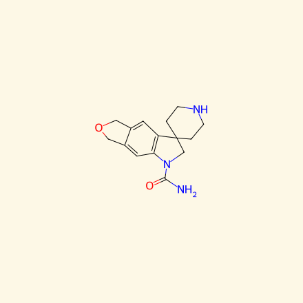 NC(=O)N1CC2(CCNCC2)c2cc3c(cc21)COC3